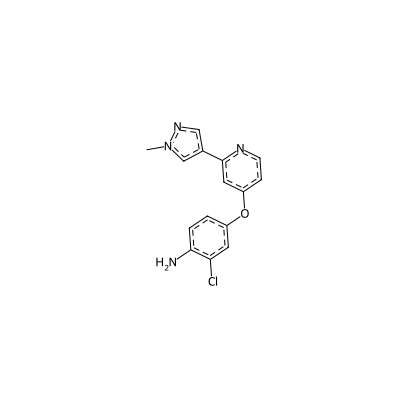 Cn1cc(-c2cc(Oc3ccc(N)c(Cl)c3)ccn2)cn1